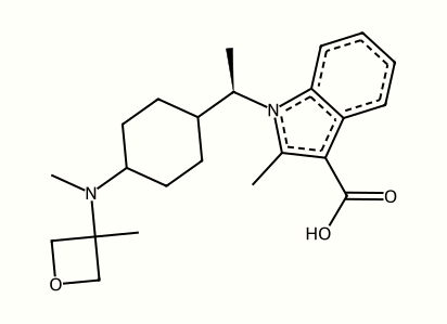 Cc1c(C(=O)O)c2ccccc2n1[C@H](C)C1CCC(N(C)C2(C)COC2)CC1